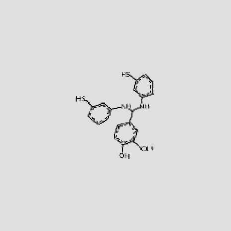 Oc1ccc(C(Nc2cccc(S)c2)Nc2cccc(S)c2)cc1O